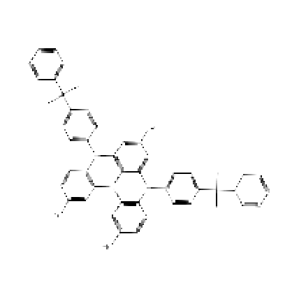 CC(C)(C)c1ccc2c(c1)B1c3cc(C(C)(C)C)ccc3N(c3ccc(C(C)(C)C4C=CC=CC4)cc3)c3cc(C(C)(C)C)cc(c31)N2c1ccc(C(C)(C)c2ccccc2)cc1